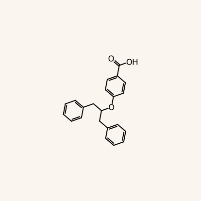 O=C(O)c1ccc(OC(Cc2ccccc2)Cc2ccccc2)cc1